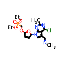 CCOP(=O)(CO[C@@H]1C=C[C@H](n2cc(/C=N/C)c3c(Cl)nc(C)nc32)O1)OCC